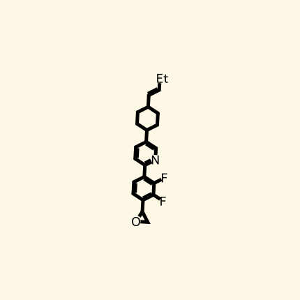 CC/C=C/C1CCC(c2ccc(-c3ccc(C4CO4)c(F)c3F)nc2)CC1